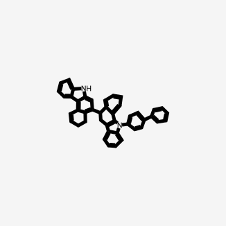 C1=Cc2c(c(C3Cc4c(n(-c5ccc(-c6ccccc6)cc5)c5ccccc45)-c4ccccc43)cc3[nH]c4ccccc4c23)CC1